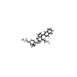 CCN1CC[C@@H](Nc2nc(OC)c3c(-c4ccc5nccnc5c4)ccn3n2)C(F)(F)C1